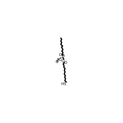 CCCCCCCCCCC(=O)O[C@@H](COP=O)COC(=O)CCCCCCCCCCCCS